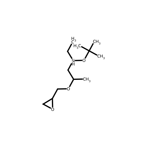 CC[SiH](CC(C)OCC1CO1)OC(C)(C)C